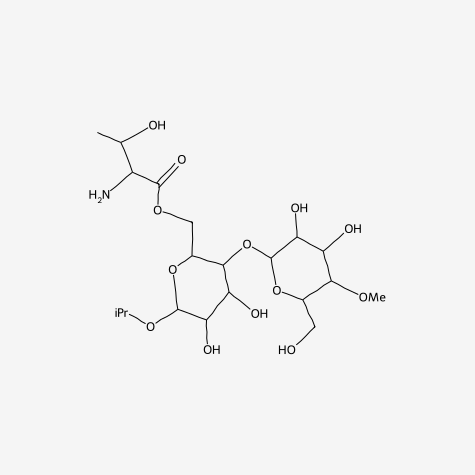 COC1C(CO)OC(OC2C(COC(=O)C(N)C(C)O)OC(OC(C)C)C(O)C2O)C(O)C1O